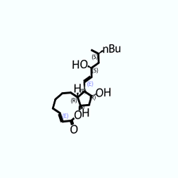 CCCC[C@H](C)C[C@H](O)/C=C/[C@@H]1[C@H]2CCCC/C=C/C(=O)O[C@H]2C[C@H]1O